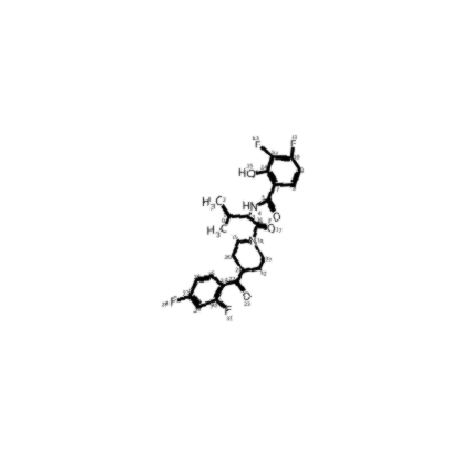 CC(C)[C@H](NC(=O)c1ccc(F)c(F)c1O)C(=O)N1CCC(C(=O)c2ccc(F)cc2F)CC1